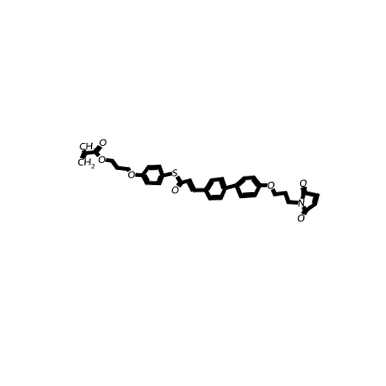 C=C(C)C(=O)OCCCOc1ccc(SC(=O)/C=C/c2ccc(-c3ccc(OCCCN4C(=O)C=CC4=O)cc3)cc2)cc1